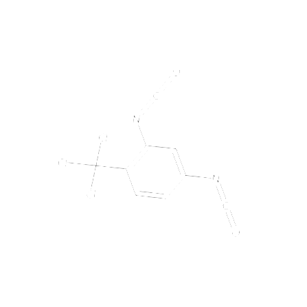 O=C=Nc1ccc(C(Cl)(Cl)Cl)c(N=C=O)c1